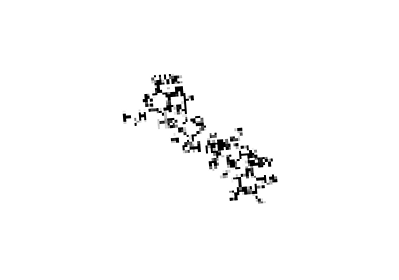 COc1nc(N)nc2c1ncn2[C@@H]1O[C@H](CO[P@@](=O)(N[C@H](C)C(=O)OC(C)C)SC[C@H]2C(=O)N(C)C(=O)N2C)[C@@H](O)[C@@]1(C)O